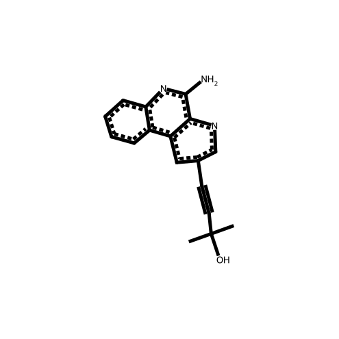 CC(C)(O)C#Cc1cnc2c(N)nc3ccccc3c2c1